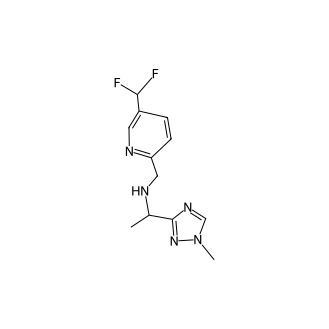 CC(NCc1ccc(C(F)F)cn1)c1ncn(C)n1